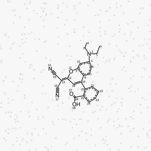 CCN(CC)c1ccc2c(c1)OC(=C(C#N)C#N)C=C2c1ccccc1C(=O)O